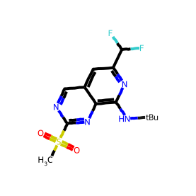 CC(C)(C)Nc1nc(C(F)F)cc2cnc(S(C)(=O)=O)nc12